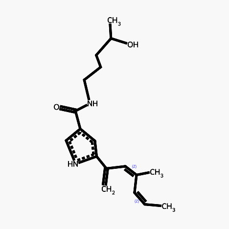 C=C(/C=C(C)\C=C/C)c1cc(C(=O)NCCCC(C)O)c[nH]1